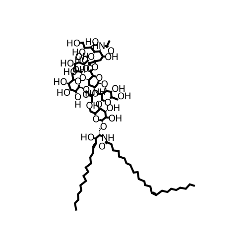 CCCCCCCC/C=C\CCCCCCCCCCCCCC(=O)N[C@@H](CO[C@@H]1OC(CO)[C@@H](O[C@@H]2OC(CO)[C@H](O)[C@H](O[C@@H]3OC(CO[C@]4(C(=O)O)CC(O)[C@@H](NC(C)=O)C([C@H](O)[C@H](O)CO)O4)[C@@H](O[C@H]4OC(C)[C@@H](O)C(O)[C@@H]4O)[C@H](O[C@@H]4OC(CO)[C@H](O)[C@H](O)C4O)C3NC(C)=O)C2O)[C@H](O)C1O)[C@H](O)/C=C/CCCCCCCCCCCCC